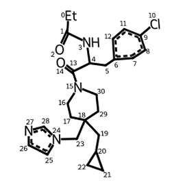 CCC(=O)NC(Cc1ccc(Cl)cc1)C(=O)N1CCC(CC2CC2)(Cn2ccnc2)CC1